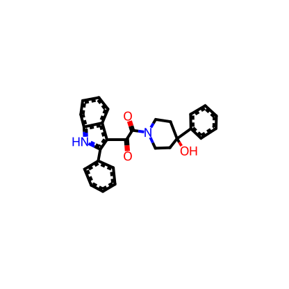 O=C(C(=O)N1CCC(O)(c2ccccc2)CC1)c1c(-c2ccccc2)[nH]c2ccccc12